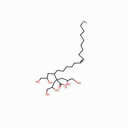 CCCCCCCC/C=C\CCCCCC(CC(O)CO)C(CC(O)CO)(CC(O)CO)C(=O)O